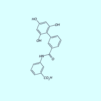 O=C(O)c1cccc(NC(=O)c2cccc(-c3c(O)cc(O)cc3O)c2)c1